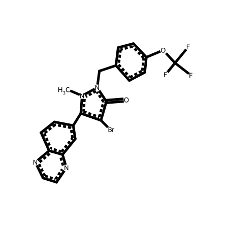 Cn1c(-c2ccc3nccnc3c2)c(Br)c(=O)n1Cc1ccc(OC(F)(F)F)cc1